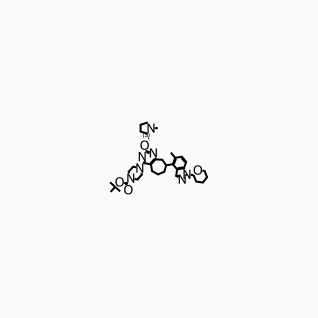 Cc1ccc2c(cnn2C2CCCCO2)c1C1CCCc2c(nc(OC[C@@H]3CCCN3C)nc2N2CCN(C(=O)OC(C)(C)C)CC2)C1